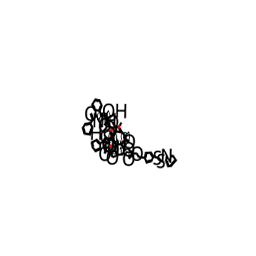 CC(=O)O[C@@]12COC1C[C@H](OC(=O)OCc1ccc(SSc3ccccn3)cc1)[C@@]1(C)C(=O)[C@H](C)C3=C(C)C(OC(=O)[C@H](O)[C@@H](NC(=O)c4ccccc4)c4ccccc4)C[C@@](O)([C@@H](OC(=O)c4ccccc4)[C@@H]12)C3(C)C